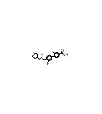 Cc1cc(C(N)=O)ccc1-c1ccc(CNCC2CCOCC2)c(F)c1